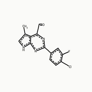 Cc1c[nH]c2nc(-c3ccc(Cl)c(F)c3)nc(C=O)c12